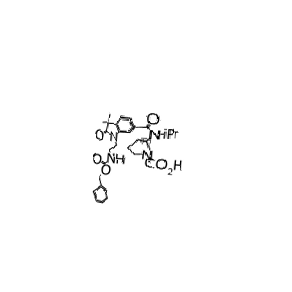 CC(C)N(C(=O)c1ccc2c(c1)N(CCNC(=O)OCc1ccccc1)C(=O)C2(C)C)[C@@H]1CCCN(C(=O)O)C1